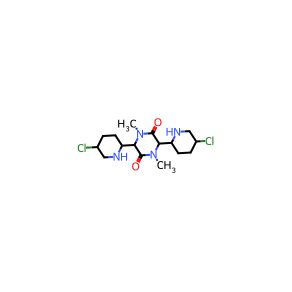 CN1C(=O)C(C2CCC(Cl)CN2)N(C)C(=O)C1C1CCC(Cl)CN1